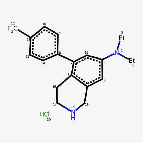 CCN(CC)c1cc2c(c(-c3ccc(C(F)(F)F)cc3)c1)CCNC2.Cl